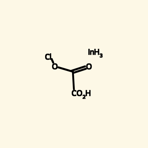 O=C(O)C(=O)OCl.[InH3]